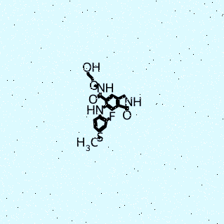 CSc1ccc(Nc2cc3c(cc2C(=O)NOCCO)CNC3=O)c(F)c1